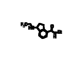 CCNC(=O)c1cccc2c1CCC2NCC(F)(F)F